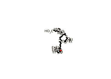 CC[C@H](O[Si](CC)(CC)CC)[C@@H](C)[C@H]1O[C@@H]1C[C@](C)(/C=C/C=C(\C)[C@H]1OC(=O)C[C@H](O[Si](CC)(CC)CC)CC[C@@](C)(OC)C(OC(=O)N2CCNC(CCC(=O)O)C2)/C=C/[C@@H]1C)O[Si](CC)(CC)CC